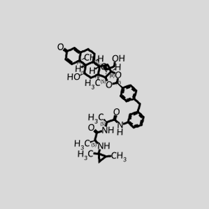 CC1CC1(C)N[C@@H](C)C(=O)N[C@@H](C)C(=O)Nc1cccc(Cc2ccc([C@@H]3O[C@@H]4C[C@H]5[C@@H]6CCC7=CC(=O)C=C[C@]7(C)[C@H]6[C@@H](O)C[C@]5(C)[C@]4(C(=O)CO)O3)cc2)c1